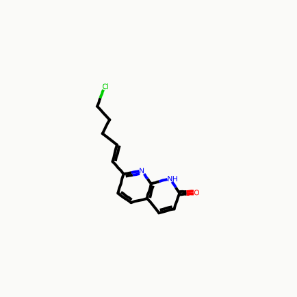 O=c1ccc2ccc(C=CCCCCl)nc2[nH]1